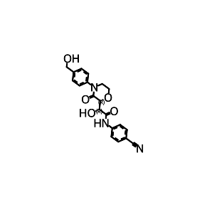 N#Cc1ccc(NC(=O)[C@H](O)[C@H]2OCCN(c3ccc(CO)cc3)C2=O)cc1